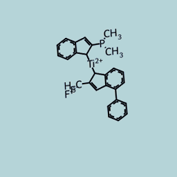 CC1=Cc2c(-c3ccccc3)cccc2[CH]1[Ti+2][CH]1C(P(C)C)=Cc2ccccc21.[F-].[F-]